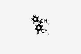 CN(c1ccc(F)c(C(F)(F)F)c1)C1CCCC1